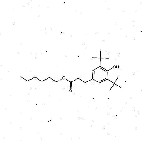 CCCCCCOC(=O)CCc1cc(C(C)(C)C)c(O)c(C(C)(C)C)c1